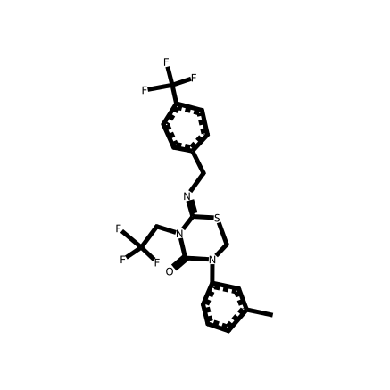 Cc1cccc(N2CSC(=NCc3ccc(C(F)(F)F)cc3)N(CC(F)(F)F)C2=O)c1